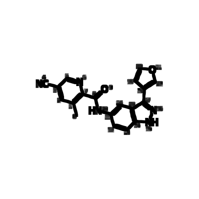 Cc1cc(C#N)cnc1C(=O)Nc1ccc2[nH]nc(-c3ccoc3)c2c1